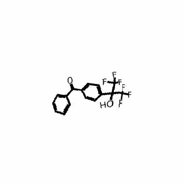 O=C(c1ccccc1)c1ccc(C(O)(C(F)(F)F)C(F)(F)F)cc1